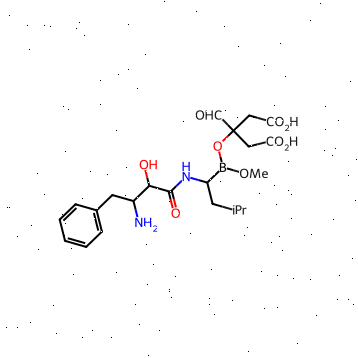 COB(OC(C=O)(CC(=O)O)CC(=O)O)C(CC(C)C)NC(=O)C(O)C(N)Cc1ccccc1